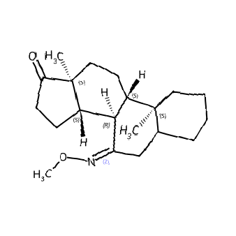 CO/N=C1/CC2CCCC[C@]2(C)[C@H]2CC[C@]3(C)C(=O)CC[C@H]3[C@H]12